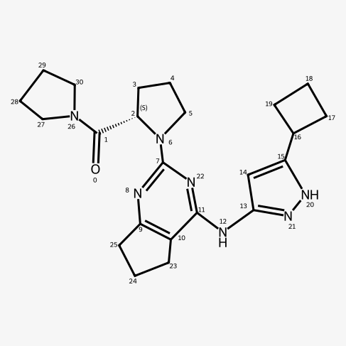 O=C([C@@H]1CCCN1c1nc2c(c(Nc3cc(C4CCC4)[nH]n3)n1)CCC2)N1CCCC1